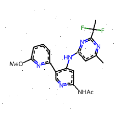 COc1cccc(-c2cnc(NC(C)=O)cc2Nc2cc(C)nc(C(C)(F)F)n2)n1